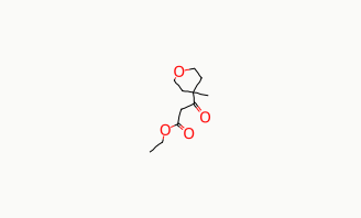 CCOC(=O)CC(=O)C1(C)CCOCC1